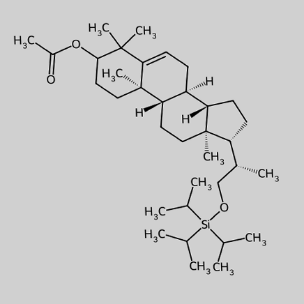 CC(=O)OC1CC[C@@]2(C)C(=CC[C@H]3[C@@H]4CC[C@H]([C@H](C)CO[Si](C(C)C)(C(C)C)C(C)C)[C@@]4(C)CC[C@@H]32)C1(C)C